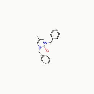 CC(C)=CN(Cc1ccccc1)C(=O)NCc1ccccc1